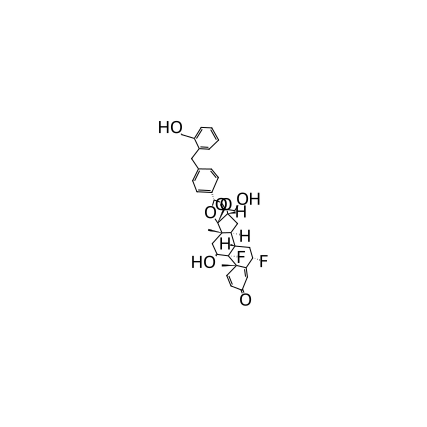 C[C@]12C=CC(=O)C=C1[C@@H](F)C[C@H]1[C@@H]3C[C@H]4O[C@@H](c5ccc(Cc6ccccc6CO)cc5)O[C@@]4(C(=O)CO)[C@@]3(C)C[C@H](O)[C@@]12F